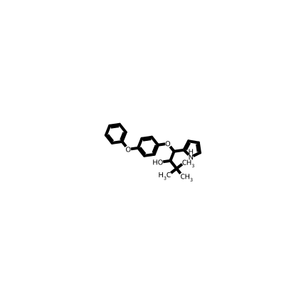 CC(C)(C)C(O)C(Oc1ccc(Oc2ccccc2)cc1)c1ccc[nH]1